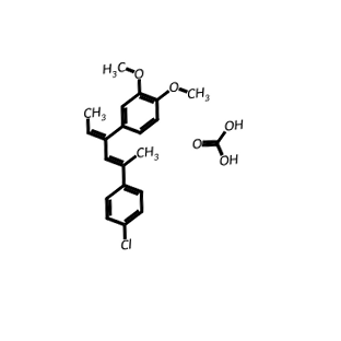 CC=C(C=C(C)c1ccc(Cl)cc1)c1ccc(OC)c(OC)c1.O=C(O)O